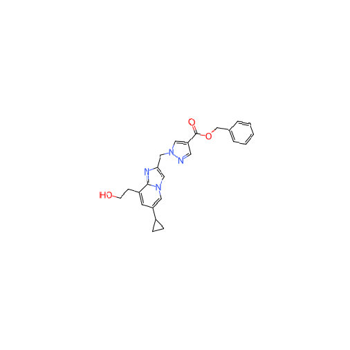 O=C(OCc1ccccc1)c1cnn(Cc2cn3cc(C4CC4)cc(CCO)c3n2)c1